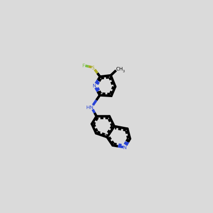 Cc1ccc(Nc2ccc3cnccc3c2)nc1SF